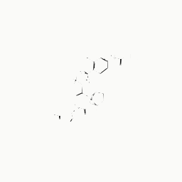 CC(=O)Nc1ccc(C(=O)N[C@H](C(=O)N2C3CC[C@@H](C3)[C@H]2C(=O)N[C@H](C=O)CC(=O)O)C(C)(C)C)c(Cl)c1